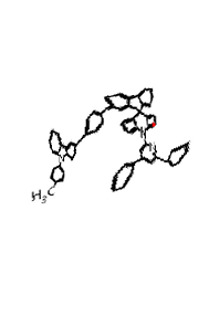 Cc1ccc(-n2c3ccccc3c3cc(-c4ccc(-c5ccc6c(c5)C5(c7ccccc7-6)c6ccccc6N(c6cc(-c7ccccc7)cc(-c7ccccc7)n6)c6ccccc65)cc4)ccc32)cc1